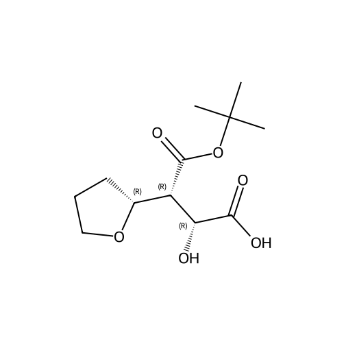 CC(C)(C)OC(=O)[C@@H]([C@H]1CCCO1)[C@@H](O)C(=O)O